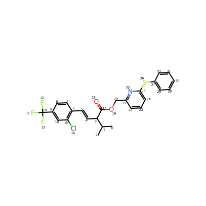 CC(C)C(/C=C/c1ccc(C(F)(F)F)cc1Cl)C(=O)OCc1cccc(Sc2ccccc2)n1